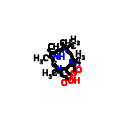 C=Cc1c(C)c2cc3nc(c4c5[nH]c(cc6nc(cc1[nH]2)C(C)=C6CC)c(C)c5C(=O)OC(=O)C4)/C(=C\CC(=O)O)[C@@H]3C